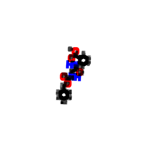 COC(=O)c1ccccc1NC(=O)CNC(=O)OCc1ccccc1